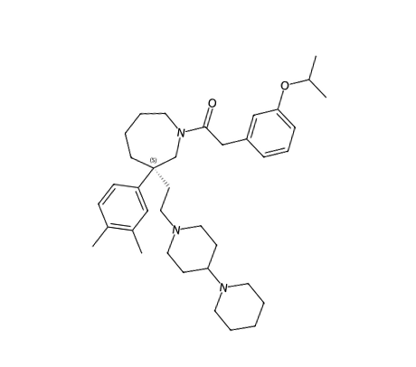 Cc1ccc([C@@]2(CCN3CCC(N4CCCCC4)CC3)CCCCN(C(=O)Cc3cccc(OC(C)C)c3)C2)cc1C